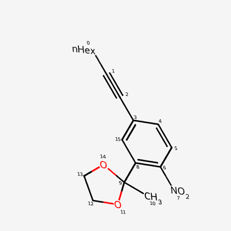 CCCCCCC#Cc1ccc([N+](=O)[O-])c(C2(C)OCCO2)c1